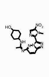 CC(=Nc1ccc2nnc(-c3ncc([N+](=O)[O-])n3C)n2n1)NC1CCC(O)CC1